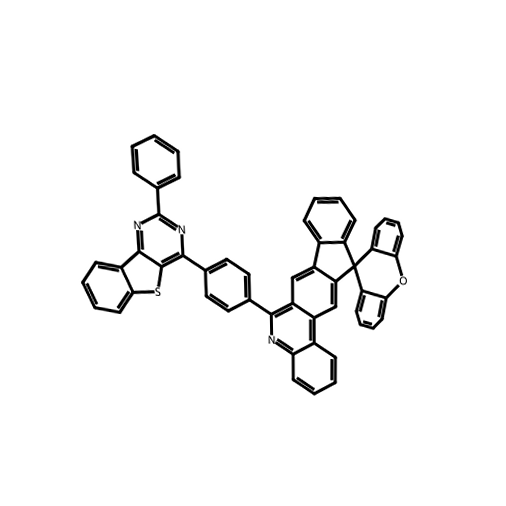 c1ccc(-c2nc(-c3ccc(-c4nc5ccccc5c5cc6c(cc45)-c4ccccc4C64c5ccccc5Oc5ccccc54)cc3)c3sc4ccccc4c3n2)cc1